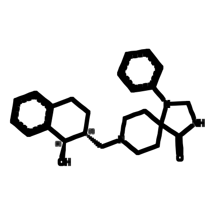 O=C1NCN(c2ccccc2)C12CCN(C[C@H]1CCc3ccccc3[C@@H]1O)CC2